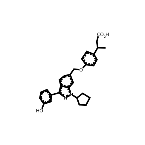 CC(CC(=O)O)c1ccc(OCc2ccc3c(-c4cccc(O)c4)nn(C4CCCC4)c3c2)cc1